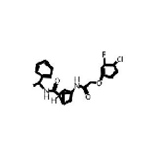 CC(NC(=O)[C@@H]1CC2(NC(=O)COc3ccc(Cl)c(F)c3)CC1C2)c1ccccc1